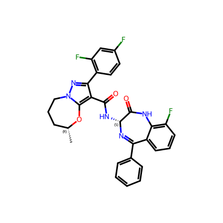 C[C@@H]1CCCn2nc(-c3ccc(F)cc3F)c(C(=O)N[C@H]3N=C(c4ccccc4)c4cccc(F)c4NC3=O)c2O1